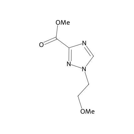 COCCn1cnc(C(=O)OC)n1